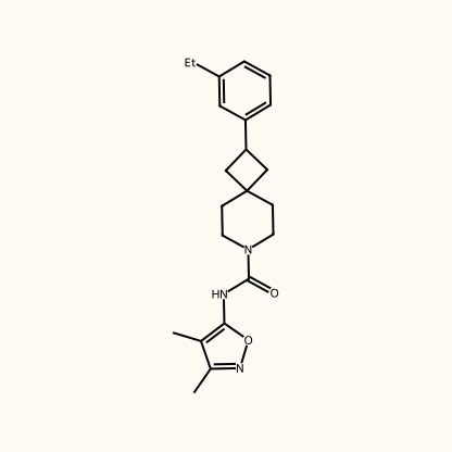 CCc1cccc(C2CC3(CCN(C(=O)Nc4onc(C)c4C)CC3)C2)c1